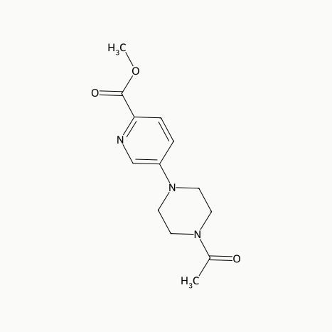 COC(=O)c1ccc(N2CCN(C(C)=O)CC2)cn1